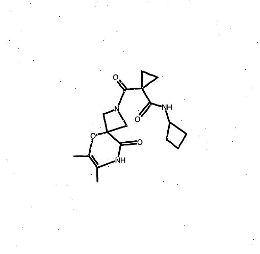 CC1=C(C)OC2(CN(C(=O)C3(C(=O)NC4CCC4)CC3)C2)C(=O)N1